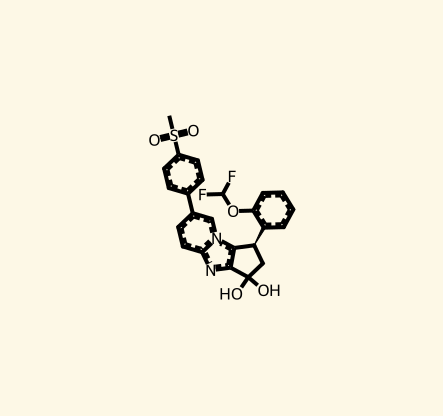 CS(=O)(=O)c1ccc(-c2ccc3nc4c(n3c2)[C@@H](c2ccccc2OC(F)F)CC4(O)O)cc1